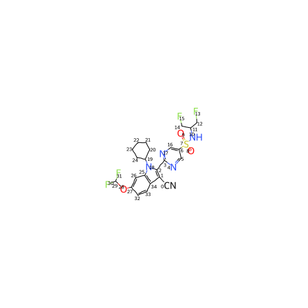 N#Cc1c(-c2ncc(S(=O)(=O)NC(CF)CF)cn2)n(C2CCCCC2)c2cc(OC(F)F)ccc12